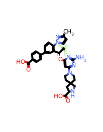 Cc1ccn(-c2ccc(-c3ccc(C(=O)O)cc3)cc2[C@@H](Oc2cc(N3CCC4(CC3)CNC(C(=O)O)C4)nc(N)n2)C(F)(F)F)n1